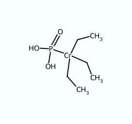 C[CH2][Cr]([CH2]C)([CH2]C)[P](=O)(O)O